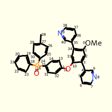 COc1cc(-c2cccnc2)c(Oc2ccc(P(=O)(c3ccccc3)c3ccc(C)cc3)cc2)cc1-c1cccnc1